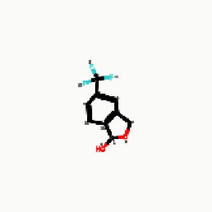 OB1OCc2cc(C(F)(F)F)ccc21